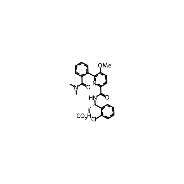 COc1ccc(C(=O)N[C@@H](CC(=O)O)c2ccccc2Cl)nc1-c1ccccc1C(=O)N(C)C